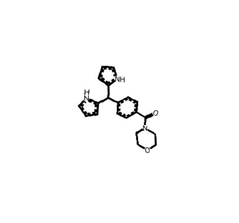 O=C(c1ccc(C(c2ccc[nH]2)c2ccc[nH]2)cc1)N1CCOCC1